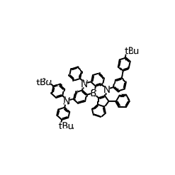 CC(C)(C)c1ccc(-c2cccc(N3C4=C(B5c6ccc(N(c7ccc(C(C)(C)C)cc7)c7ccc(C(C)(C)C)cc7)cc6N(c6ccccc6)c6cccc3c65)c3ccccc3C4c3ccccc3)c2)cc1